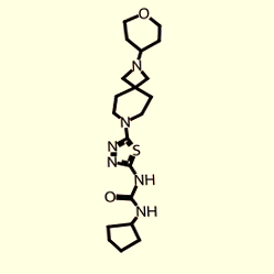 O=C(Nc1nnc(N2CCC3(CC2)CN(C2CCOCC2)C3)s1)NC1CCCC1